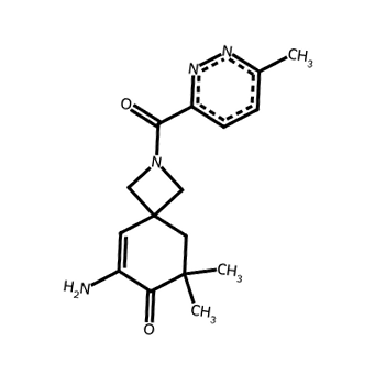 Cc1ccc(C(=O)N2CC3(C=C(N)C(=O)C(C)(C)C3)C2)nn1